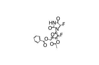 CC(=O)O[C@H]1[C@@H](F)[C@H](n2cc(F)c(=O)[nH]c2=O)O[C@@H]1COC(=O)c1ccccc1